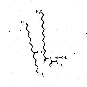 CCCCCCCCCC(O)CCCCCC.CCCCCCCCCCCCCC(=O)OC(=O)C(C)NC